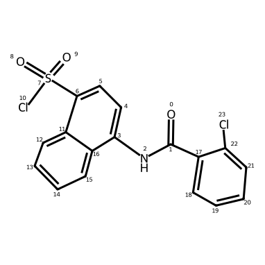 O=C(Nc1ccc(S(=O)(=O)Cl)c2ccccc12)c1ccccc1Cl